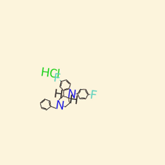 Cl.Fc1ccc(N2c3ccc(F)cc3[C@@H]3CN(Cc4ccccc4)CC[C@H]32)cc1